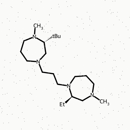 CC[C@@H]1CN(C)CCCN1CCCN1CCCN(C)[C@H](C(C)(C)C)C1